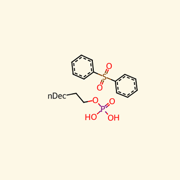 CCCCCCCCCCCCOP(=O)(O)O.O=S(=O)(c1ccccc1)c1ccccc1